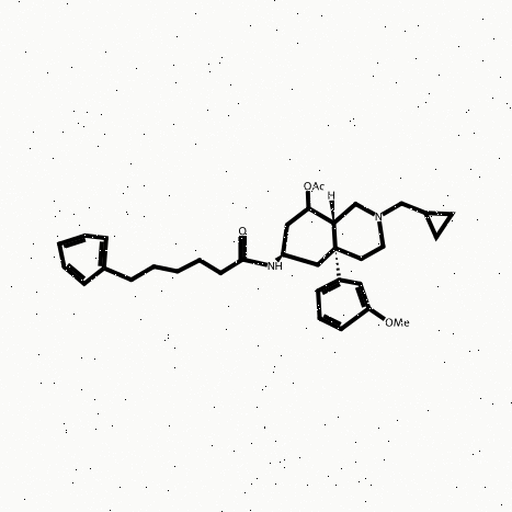 COc1cccc([C@@]23CCN(CC4CC4)C[C@H]2C(OC(C)=O)C[C@H](NC(=O)CCCCCc2ccccc2)C3)c1